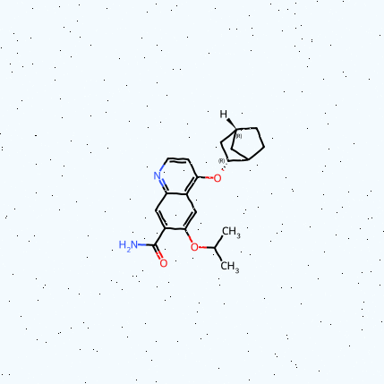 CC(C)Oc1cc2c(O[C@@H]3C[C@@H]4CCC3C4)ccnc2cc1C(N)=O